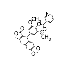 COc1cc(C2C3=C(COC3=O)Cc3cc4c(cc32)OCO4)cc(OC)c1OC(=O)c1cccnc1